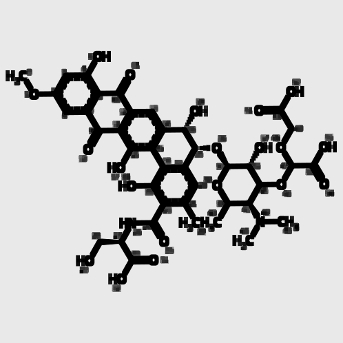 COc1cc(O)c2c(c1)C(=O)c1c(cc3c(c1O)-c1c(cc(C)c(C(=O)N[C@H](CO)C(=O)O)c1O)[C@@H](O[C@@H]1OC(C)[C@H](N(C)C)C(OC(OCC(=O)O)C(=O)O)[C@H]1O)[C@H]3O)C2=O